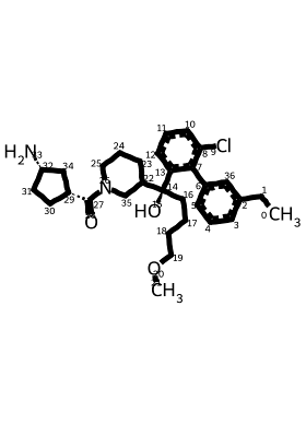 CCc1cccc(-c2c(Cl)cccc2[C@](O)(CCCCOC)C2CCCN(C(=O)[C@@H]3CC[C@H](N)C3)C2)c1